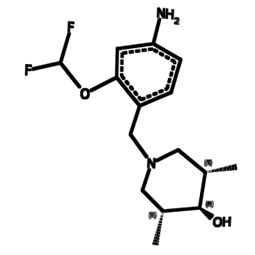 C[C@@H]1CN(Cc2ccc(N)cc2OC(F)F)C[C@H](C)[C@H]1O